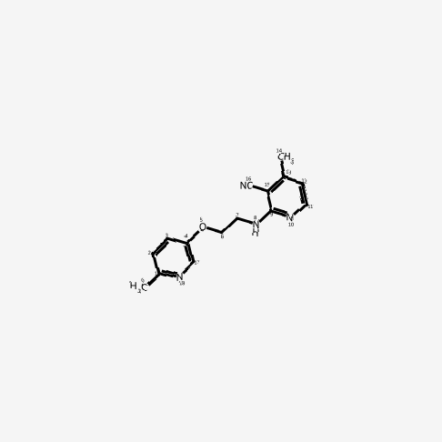 Cc1ccc(OCCNc2nccc(C)c2C#N)cn1